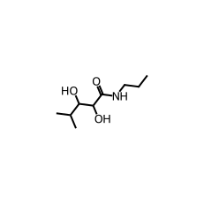 CCCNC(=O)C(O)C(O)C(C)C